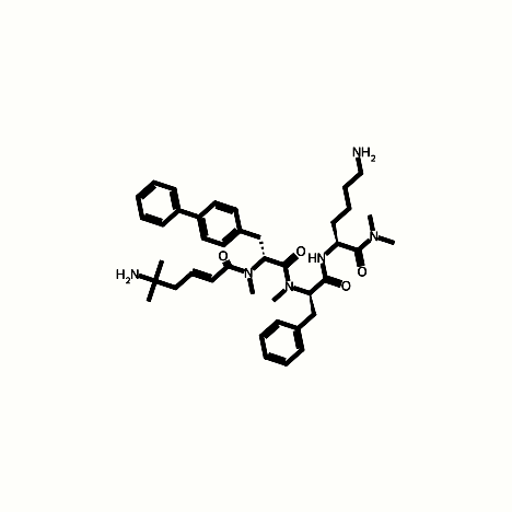 CN(C)C(=O)[C@H](CCCCN)NC(=O)[C@@H](Cc1ccccc1)N(C)C(=O)[C@@H](Cc1ccc(-c2ccccc2)cc1)N(C)C(=O)/C=C/CC(C)(C)N